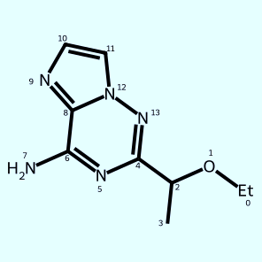 CCOC(C)c1nc(N)c2nccn2n1